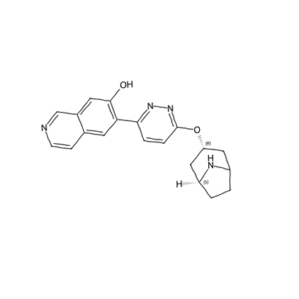 Oc1cc2cnccc2cc1-c1ccc(O[C@@H]2CC3CC[C@@H](C2)N3)nn1